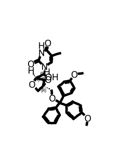 COc1ccc(C(OC[C@@]23CO[C@@H]([C@H](n4cc(C)c(=O)[nH]c4=O)O2)[C@H]3O)(c2ccccc2)c2ccc(OC)cc2)cc1